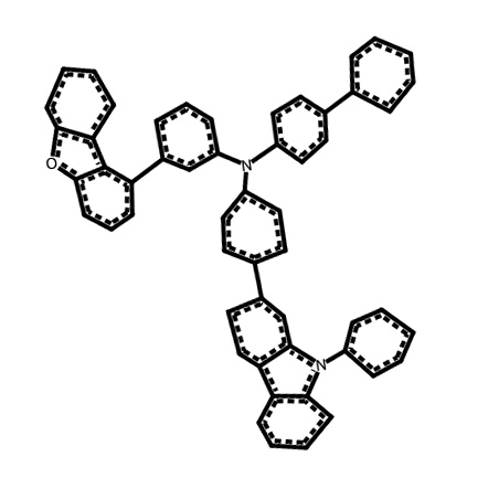 c1ccc(-c2ccc(N(c3ccc(-c4ccc5c6ccccc6n(-c6ccccc6)c5c4)cc3)c3cccc(-c4cccc5oc6ccccc6c45)c3)cc2)cc1